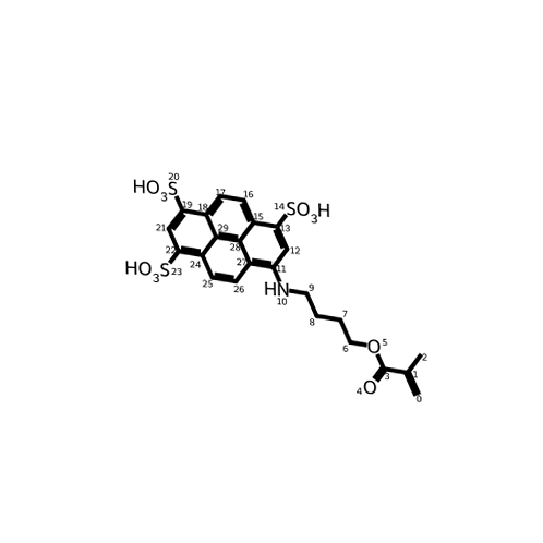 C=C(C)C(=O)OCCCCNc1cc(S(=O)(=O)O)c2ccc3c(S(=O)(=O)O)cc(S(=O)(=O)O)c4ccc1c2c43